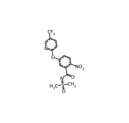 CS(C)(=O)=NC(=O)c1cc(Oc2ccc(C(F)(F)F)cn2)ccc1[N+](=O)[O-]